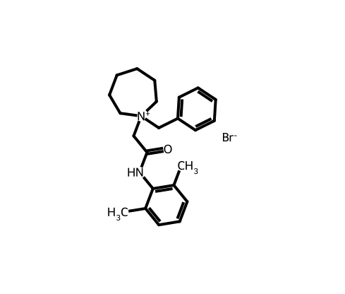 Cc1cccc(C)c1NC(=O)C[N+]1(Cc2ccccc2)CCCCCC1.[Br-]